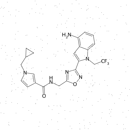 Nc1cccc2c1cc(-c1noc(CNC(=O)c3ccn(CC4CC4)c3)n1)n2CC(F)(F)F